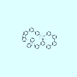 c1ccc(-c2cccc(-c3cccc(-c4cccc(-c5nc(-c6ccc(-c7cccc(-c8ccc9oc%10ccccc%10c9c8)c7)cc6)nc(-c6cccc(-c7cccc(-n8c9ccccc9c9ccccc98)c7)c6)n5)c4)c3)c2)cc1